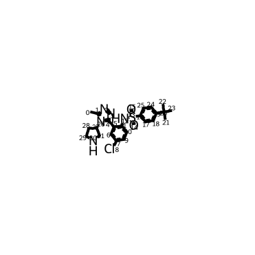 Cc1nnc(-c2cc(Cl)ccc2NS(=O)(=O)c2ccc(C(C)(C)C)cc2)n1C1CCNC1